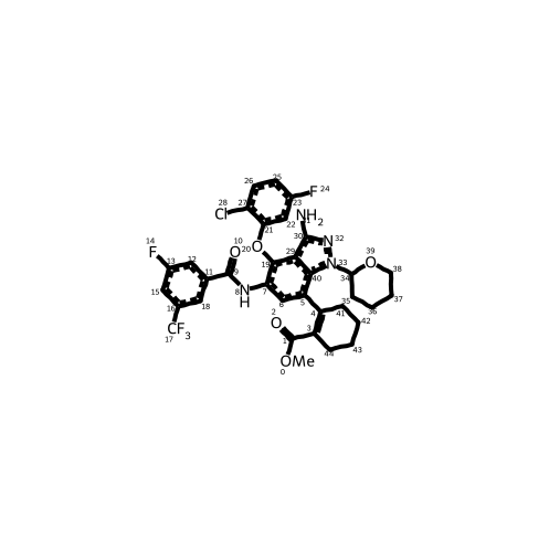 COC(=O)C1=C(c2cc(NC(=O)c3cc(F)cc(C(F)(F)F)c3)c(Oc3cc(F)ccc3Cl)c3c(N)nn(C4CCCCO4)c23)CCCC1